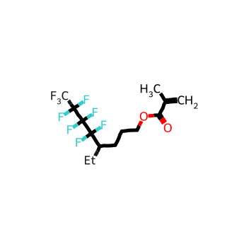 C=C(C)C(=O)OCCCC(CC)C(F)(F)C(F)(F)C(F)(F)C(F)(F)F